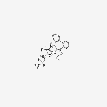 C[C@@](F)(C(=O)NCC(F)(F)C(F)(F)F)C(=O)N[C@@H]1C(=O)N(CC2CC2)c2ccccc2-c2ccccc21